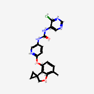 Cc1ccc(Oc2ccc(NC(=O)Nc3cncnc3Cl)cn2)c2c1OCC21CC1